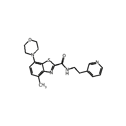 Cc1ccc(N2CCOCC2)c2sc(C(=O)NCCc3cccnc3)nc12